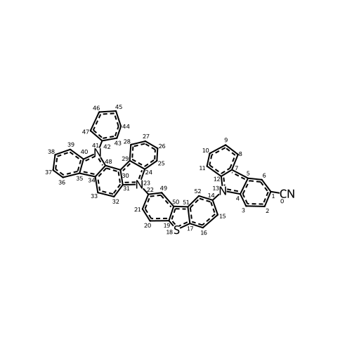 N#Cc1ccc2c(c1)c1ccccc1n2-c1ccc2sc3ccc(-n4c5ccccc5c5c4ccc4c6ccccc6n(-c6ccccc6)c45)cc3c2c1